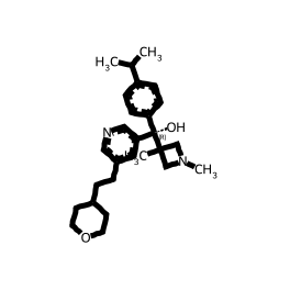 CC(C)c1ccc([C@](O)(c2cncc(CCC3CCOCC3)c2)C2(C)CN(C)C2)cc1